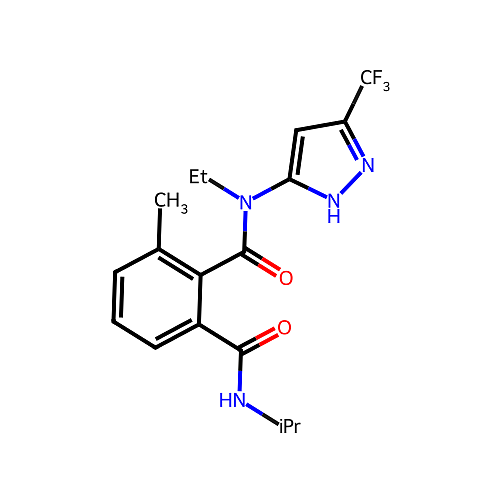 CCN(C(=O)c1c(C)cccc1C(=O)NC(C)C)c1cc(C(F)(F)F)n[nH]1